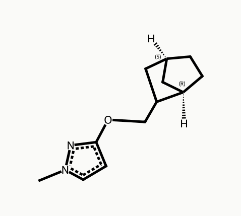 Cn1ccc(OCC2C[C@H]3CC[C@@H]2C3)n1